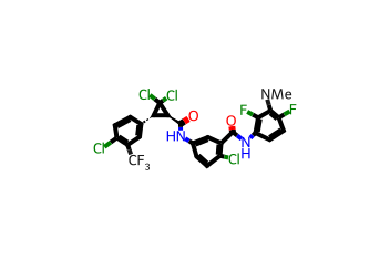 CNc1c(F)ccc(NC(=O)c2cc(NC(=O)[C@H]3[C@H](c4ccc(Cl)c(C(F)(F)F)c4)C3(Cl)Cl)ccc2Cl)c1F